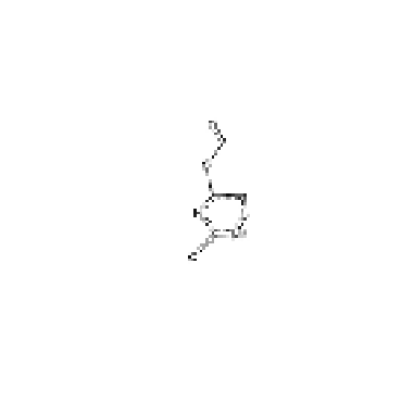 O=COc1cc[nH]c(=O)n1